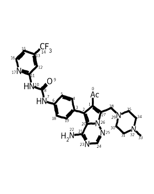 CC(=O)c1c(-c2ccc(NC(=O)Nc3cc(C(F)(F)F)ccn3)cc2)c2c(N)ncnn2c1CN1CCN(C)CC1